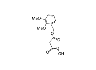 COc1cccc(COC(=O)CC(=O)OO)c1OC